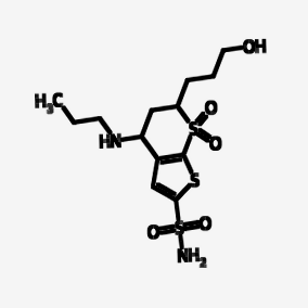 CCCNC1CC(CCCO)S(=O)(=O)c2sc(S(N)(=O)=O)cc21